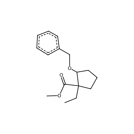 CCC1(C(=O)OC)CCCC1OCc1ccccc1